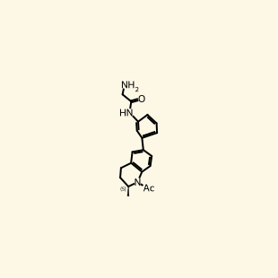 CC(=O)N1c2ccc(-c3cccc(NC(=O)CN)c3)cc2CC[C@@H]1C